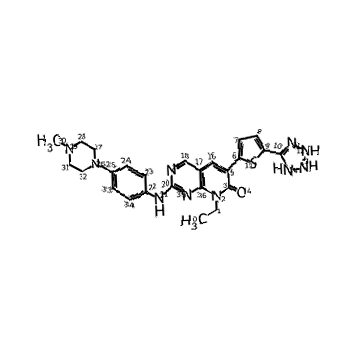 CCn1c(=O)c(-c2ccc(C3=NNNN3)s2)cc2cnc(Nc3ccc(N4CCN(C)CC4)cc3)nc21